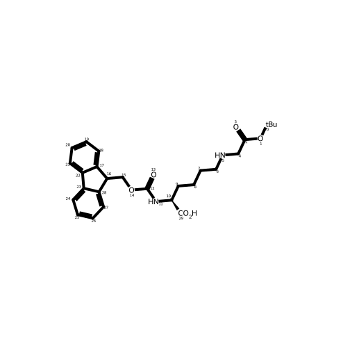 CC(C)(C)OC(=O)CNCCCC[C@H](NC(=O)OCC1c2ccccc2-c2ccccc21)C(=O)O